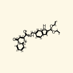 CCOC(OCC)c1cc2ccc(CNC(=O)c3cc(=O)n4ccccc4n3)cc2[nH]1